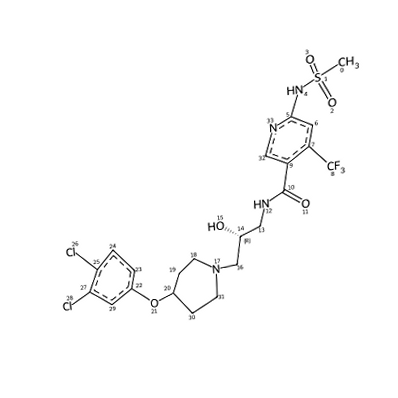 CS(=O)(=O)Nc1cc(C(F)(F)F)c(C(=O)NC[C@@H](O)CN2CCC(Oc3ccc(Cl)c(Cl)c3)CC2)cn1